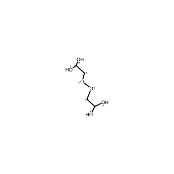 OC(O)COOCC(O)O